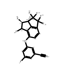 N#Cc1cc(F)cc(Oc2ccc3c4c2C(F)[C@@H](F)[C@]4(O)C(F)(F)C3(F)F)c1